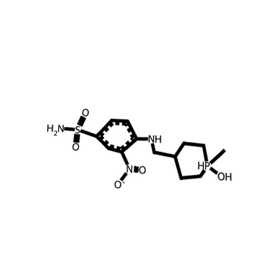 C[PH]1(O)CCC(CNc2ccc(S(N)(=O)=O)cc2[N+](=O)[O-])CC1